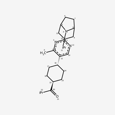 Cc1nc(N2C3CCC2CN(C(C)C)C3)ncc1[C@H]1CC[C@H](C(=O)C(C)C)CC1